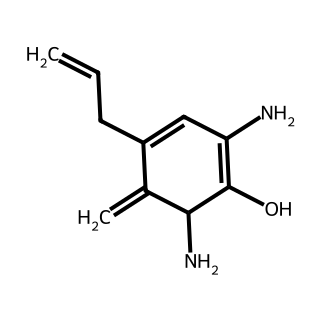 C=CCC1=CC(N)=C(O)C(N)C1=C